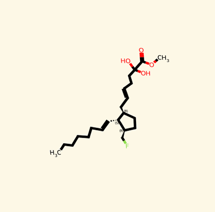 CCCCCCC=C[C@H]1[C@H](CF)CC[C@@H]1CC=CCCC(O)(O)C(=O)OC